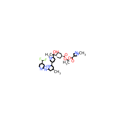 Cc1cc(Nc2cc(C(F)F)ccn2)nc(-c2ccc([C@](C)(O)[C@H]3CC[C@H](C(=O)O[C@@H](C)OC(=O)c4cnn(C)c4)CC3)nc2)c1